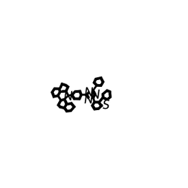 c1ccc(-c2nc(-c3ccc(N4c5c(ccc6ccccc56)-c5cccc6cccc4c56)cc3)nc(-c3cccc4sc5ccccc5c34)n2)cc1